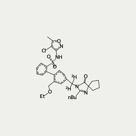 [2H]C([2H])(c1ccc(-c2ccccc2S(=O)(=O)Nc2noc(C)c2Cl)c(COCC)c1)N1C(=O)C2(CCCC2)N=C1CCCC